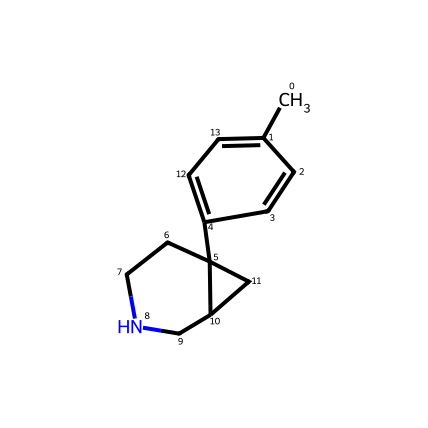 Cc1ccc(C23CCNCC2C3)cc1